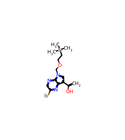 C=C(O)c1cn(COCC[Si](C)(C)C)c2ncc(Br)nc12